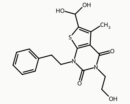 Cc1c(C(O)O)sc2c1c(=O)n(CCO)c(=O)n2CCc1ccccc1